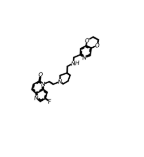 O=c1ccc2ncc(F)cc2n1CCN1CCCC(CNCc2cc3c(cn2)OCCO3)C1